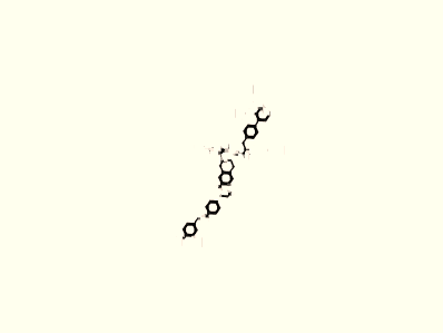 Cc1nccc(-c2ccc(C[C@H](NC(=O)[C@@H]3Cc4cc5c(cc4CN3C(=O)OC(C)(C)C)O[C@H](c3ccc(OCc4ccc(Cl)c(Cl)c4)cc3)CO5)C(=O)O)cc2)c1C